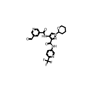 O=Cc1cncc(C(=O)Nc2cn(C3CCCCO3)nc2C(=O)Nc2ccc(C(F)(F)F)nc2)c1